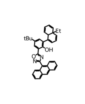 CCC12C=CC=CC1C(c1cc(C(C)(C)C)cc(-c3nc(-c4c5ccccc5cc5ccccc45)no3)c1O)=CC=C2